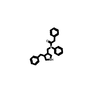 O=C(Cc1ccccc1)N(CC1CNCC1Cc1ccccc1)c1ccccc1